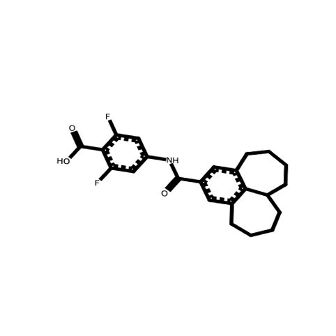 O=C(Nc1cc(F)c(C(=O)O)c(F)c1)c1cc2c3c(c1)CCCCC3CCCC2